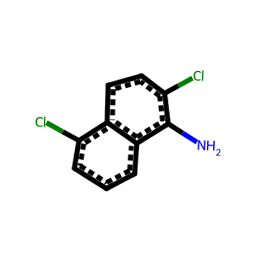 Nc1c(Cl)ccc2c(Cl)cccc12